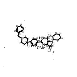 COc1cc(C2(O)CCN(Cc3ccccc3)CC2)ccc1-c1nc2c(C)nn(C3CCCCC3)c2c(=O)[nH]1